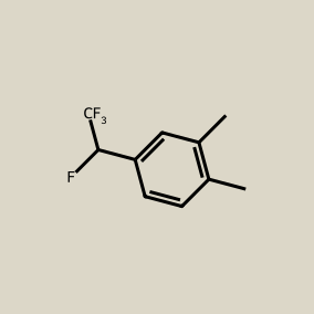 Cc1ccc(C(F)C(F)(F)F)cc1C